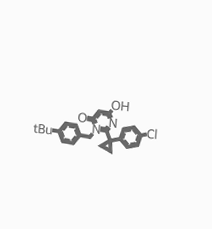 CC(C)(C)c1ccc(Cn2c(C3(c4ccc(Cl)cc4)CC3)nc(O)cc2=O)cc1